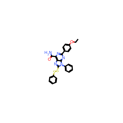 CCOc1ccc(-c2nc(C(N)=O)c3nc(SSc4ccccc4)n(-c4ccccc4)c3n2)cc1